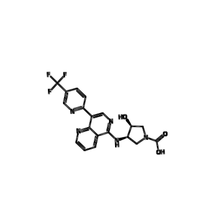 O=C(O)N1C[C@H](O)[C@H](Nc2ncc(-c3ccc(C(F)(F)F)cn3)c3ncccc23)C1